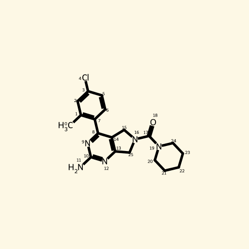 Cc1cc(Cl)ccc1-c1nc(N)nc2c1CN(C(=O)N1CCCCC1)C2